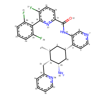 C[C@@H]1C[C@H](c2ccncc2NC(=O)c2ccc(F)c(-c3c(F)cccc3F)n2)C[C@H](N)[C@@H]1Cc1ccccn1